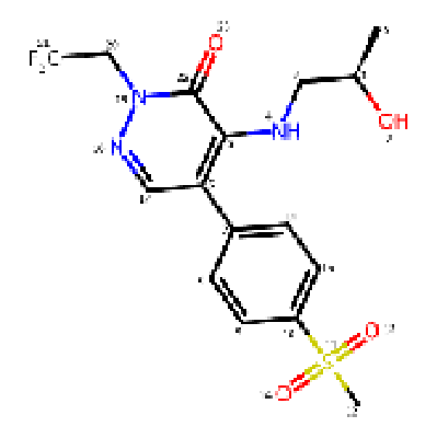 C[C@@H](O)CNc1c(-c2ccc(S(C)(=O)=O)cc2)cnn(CC(F)(F)F)c1=O